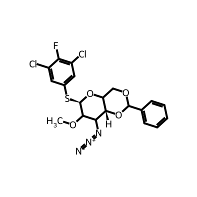 COC1C(N=[N+]=[N-])[C@H]2OC(c3ccccc3)OCC2O[C@@H]1Sc1cc(Cl)c(F)c(Cl)c1